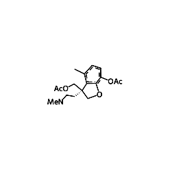 CNCC[C@@]1(COC(C)=O)COc2c(OC(C)=O)ccc(C)c21